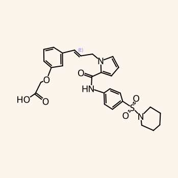 O=C(O)COc1cccc(/C=C/Cn2cccc2C(=O)Nc2ccc(S(=O)(=O)N3CCCCC3)cc2)c1